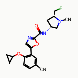 N#Cc1ccc(OC2CC2)c(-c2cnc(C(=O)N[C@@H]3C[C@@H](CF)N(C#N)C3)o2)c1